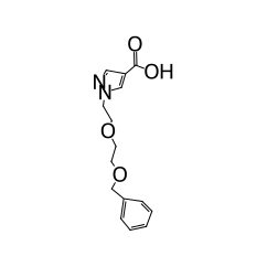 O=C(O)c1cnn(CCOCCOCc2ccccc2)c1